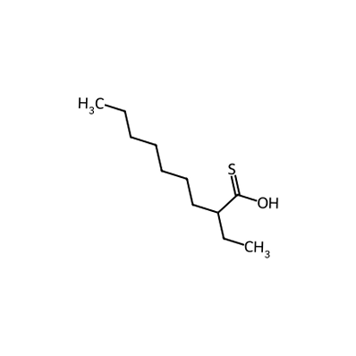 CCCCCCCC(CC)C(O)=S